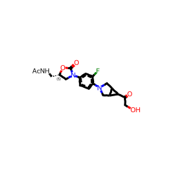 CC(=O)NC[C@H]1CN(c2ccc(N3CC4C(C3)C4C(=O)CO)c(F)c2)C(=O)O1